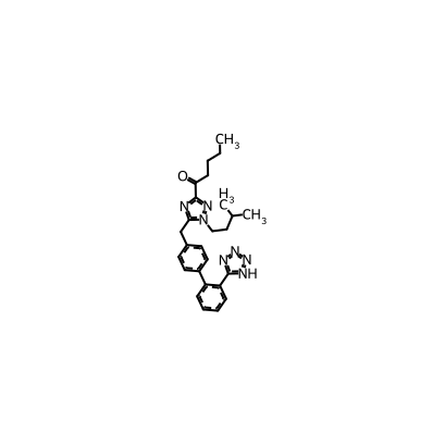 CCCCC(=O)c1nc(Cc2ccc(-c3ccccc3-c3nnn[nH]3)cc2)n(CCC(C)C)n1